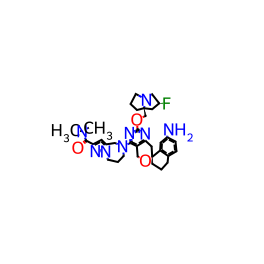 CN(C)C(=O)c1cc2n(n1)CCCN(c1nc(OC[C@@]34CCCN3C[C@H](F)C4)nc3c1CO[C@]1(CCCc4ccc(N)cc41)C3)C2